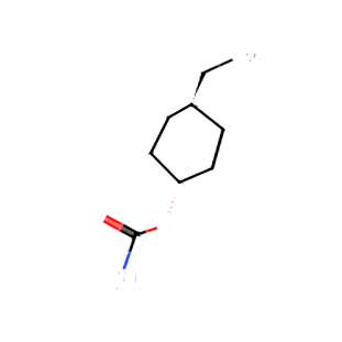 CSC[C@H]1CC[C@H](OC(N)=O)CC1